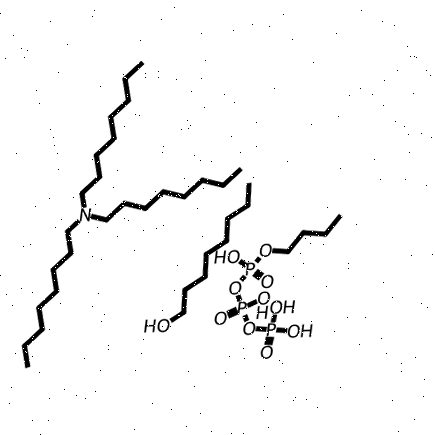 CCCCCCCCN(CCCCCCCC)CCCCCCCC.CCCCCCCCO.CCCCOP(=O)(O)OP(=O)(O)OP(=O)(O)O